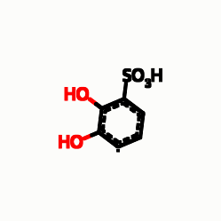 O=S(=O)(O)c1cc[c]c(O)c1O